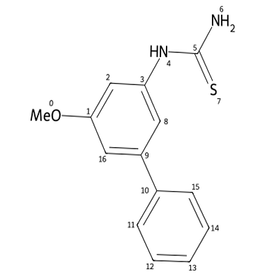 COc1cc(NC(N)=S)cc(-c2ccccc2)c1